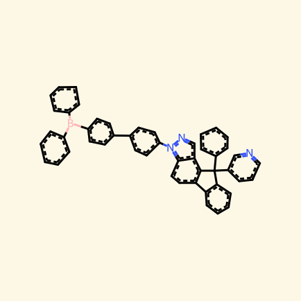 c1ccc(B(c2ccccc2)c2ccc(-c3ccc(-n4ncc5c6c(ccc54)-c4ccccc4C6(c4ccccc4)c4cccnc4)cc3)cc2)cc1